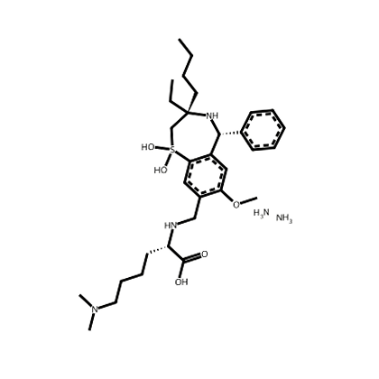 CCCC[C@]1(CC)CS(O)(O)c2cc(CN[C@@H](CCCCN(C)C)C(=O)O)c(OC)cc2[C@@H](c2ccccc2)N1.N.N